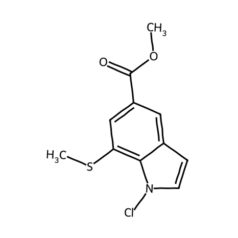 COC(=O)c1cc(SC)c2c(ccn2Cl)c1